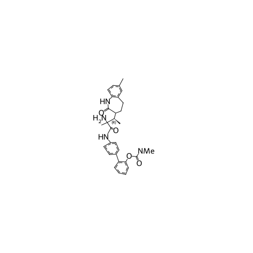 CNC(=O)Oc1ccccc1-c1ccc(NC(=O)C(C)(N)[C@H](C)C2CCc3cc(C)ccc3NC2=O)cc1